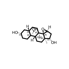 C[C@]12CC[C@H]3[C@@H](CC[C@H]4C[C@@H](O)CC[C@@]43CO)[C@@]13O[C@H]3C[C@@H]2O